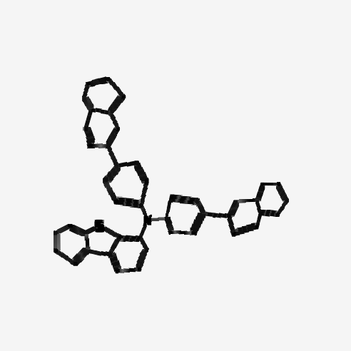 c1ccc2cc(-c3ccc(N(c4ccc(-c5ccc6ccccc6c5)cc4)c4cccc5c4sc4ccccc45)cc3)ccc2c1